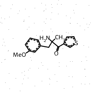 COc1cccc(CC(C)(N)C(=O)c2ccsc2)c1